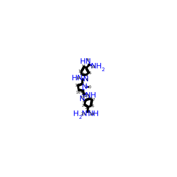 Cn1c(-c2nc3cc(C(=N)N)ccc3[nH]2)ccc1-c1nc2cc(C(=N)N)ccc2[nH]1